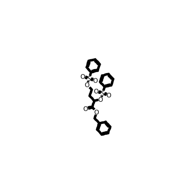 O=C(OCc1ccccc1)C(CCOS(=O)(=O)c1ccccc1)OS(=O)(=O)c1ccccc1